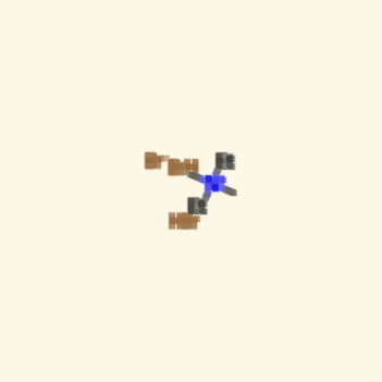 Br.Br.CC[N+](C)(C)CC.[Br-]